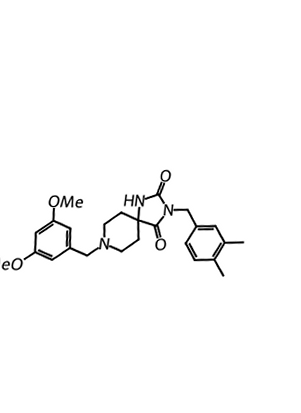 COc1cc(CN2CCC3(CC2)NC(=O)N(Cc2ccc(C)c(C)c2)C3=O)cc(OC)c1